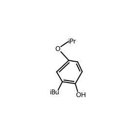 CCC(C)c1cc(OC(C)C)ccc1O